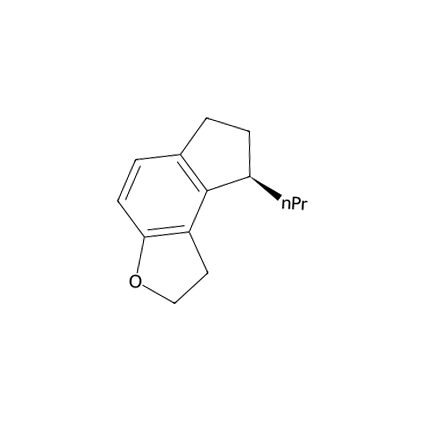 CCC[C@@H]1CCc2ccc3c(c21)CCO3